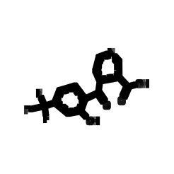 O=C(O)c1cnccc1C(=O)c1ccc(C(F)(F)F)cc1O